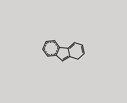 [C]1=C2CC=CC=C2c2ccccc21